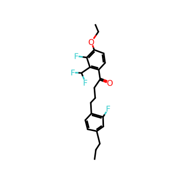 CCCc1ccc(CCCC(=O)c2ccc(OCC)c(F)c2C(F)F)c(F)c1